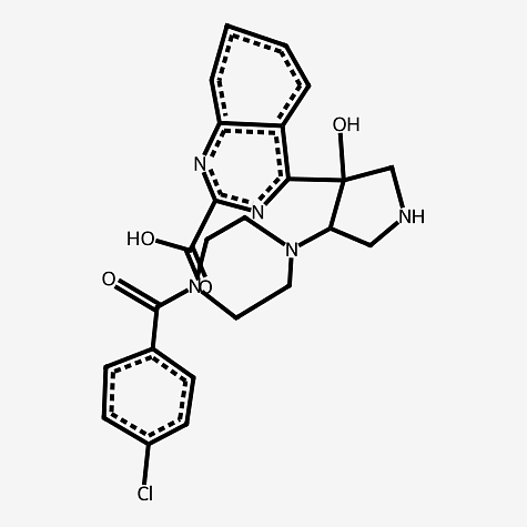 O=C(O)c1nc(C2(O)CNCC2N2CCN(C(=O)c3ccc(Cl)cc3)CC2)c2ccccc2n1